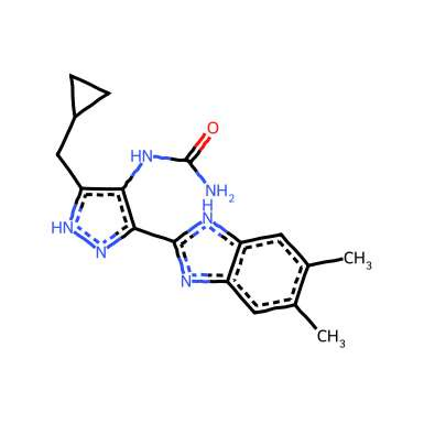 Cc1cc2nc(-c3n[nH]c(CC4CC4)c3NC(N)=O)[nH]c2cc1C